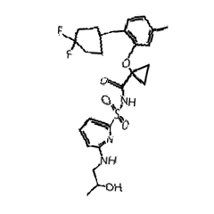 Cc1ccc(C2CCC(F)(F)CC2)c(OC2(C(=O)NS(=O)(=O)c3cccc(NCC(C)O)n3)CC2)c1